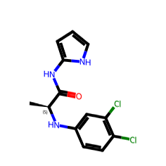 C[C@H](Nc1ccc(Cl)c(Cl)c1)C(=O)Nc1ccc[nH]1